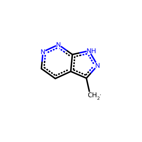 [CH2]c1n[nH]c2nnccc12